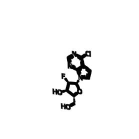 OC[C@H]1O[C@@H](n2ccc3c(Cl)ncnc32)[C@H](F)[C@@H]1O